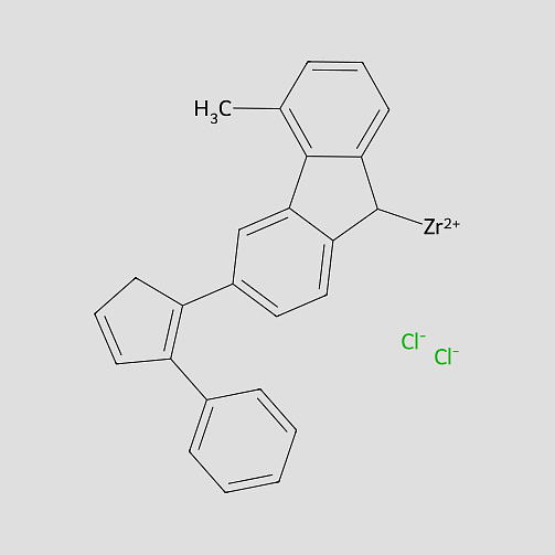 Cc1cccc2c1-c1cc(C3=C(c4ccccc4)C=CC3)ccc1[CH]2[Zr+2].[Cl-].[Cl-]